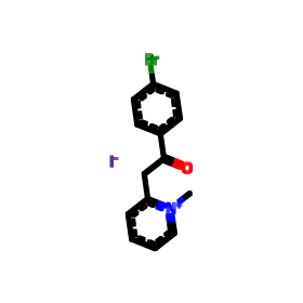 C[n+]1ccccc1CC(=O)c1ccc(Br)cc1.[I-]